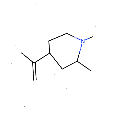 C=C(C)C1CCN(C)C(C)C1